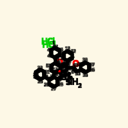 Cl.Cl.[CH3][Zr]([CH3])(=[SiH2])([CH]1C(c2cc3ccccc3o2)=Cc2c(-c3ccccc3)cccc21)[CH]1C(c2cc3ccccc3o2)=Cc2c(-c3ccccc3)cccc21